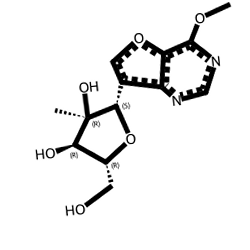 COc1ncnc2c([C@@H]3O[C@H](CO)[C@@H](O)[C@@]3(C)O)coc12